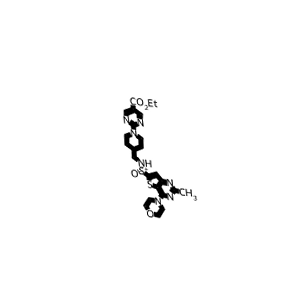 CCOC(=O)c1cnc(N2CCC(CN[S+]([O-])c3cc4nc(C)nc(N5CCOCC5)c4s3)CC2)nc1